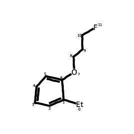 CCc1ccccc1OCCCF